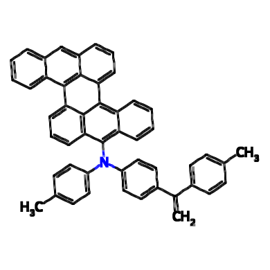 C=C(c1ccc(C)cc1)c1ccc(N(c2ccc(C)cc2)c2c3ccccc3c3c4cccc5cc6ccccc6c(c6cccc2c63)c54)cc1